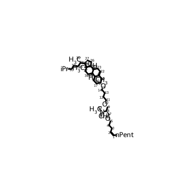 CCCCC/C=C\CCCOC[C@H](COCCCCOC1CC[C@@]2(C)C(=CC[C@H]3[C@@H]4CC[C@H]([C@H](C)CCCC(C)C)[C@@]4(C)CC[C@@H]32)C1)N(C)C